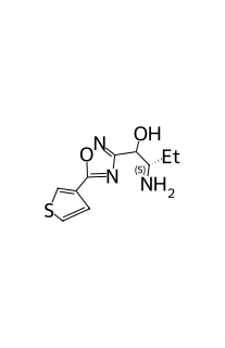 CC[C@H](N)C(O)c1noc(-c2ccsc2)n1